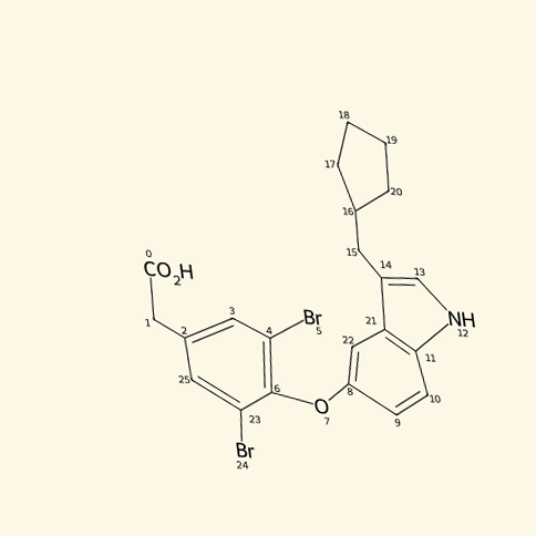 O=C(O)Cc1cc(Br)c(Oc2ccc3[nH]cc(CC4CCCC4)c3c2)c(Br)c1